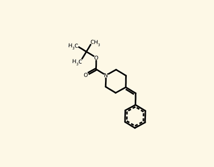 CC(C)(C)OC(=O)N1CCC(=Cc2ccccc2)CC1